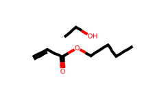 C=CC(=O)OCCCC.[CH2]CO